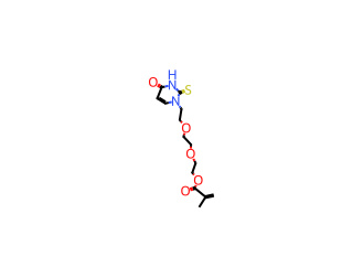 C=C(C)C(=O)OCCOCCOCCn1ccc(=O)[nH]c1=S